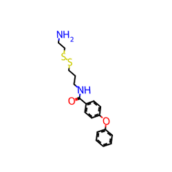 NCCSSCCCNC(=O)c1ccc(Oc2ccccc2)cc1